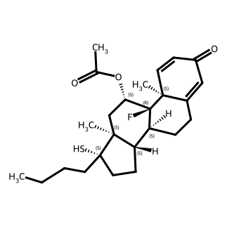 CCCC[C@]1(S)CC[C@H]2[C@@H]3CCC4=CC(=O)C=C[C@]4(C)[C@@]3(F)[C@@H](OC(C)=O)C[C@@]21C